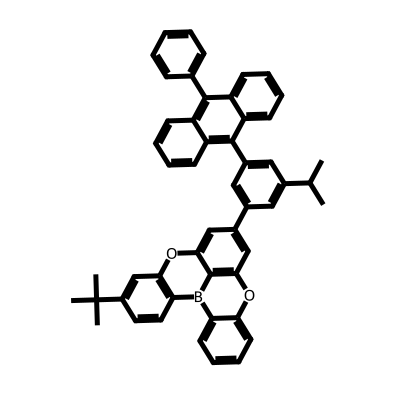 CC(C)c1cc(-c2cc3c4c(c2)Oc2cc(C(C)(C)C)ccc2B4c2ccccc2O3)cc(-c2c3ccccc3c(-c3ccccc3)c3ccccc23)c1